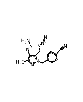 Cc1nn(Cc2ccc(C#N)cc2)c(CN=[N+]=[N-])c1N=NN